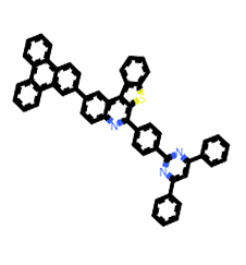 c1ccc(-c2cc(-c3ccccc3)nc(-c3ccc(-c4nc5ccc(-c6ccc7c8ccccc8c8ccccc8c7c6)cc5c5c4sc4ccccc45)cc3)n2)cc1